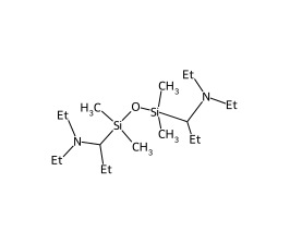 CCC(N(CC)CC)[Si](C)(C)O[Si](C)(C)C(CC)N(CC)CC